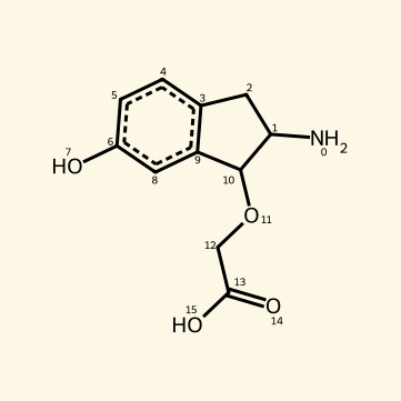 NC1Cc2ccc(O)cc2C1OCC(=O)O